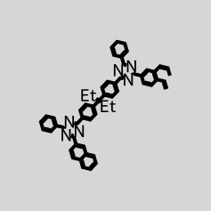 C=Cc1ccc(-c2nc(C3=CCCC=C3)nc(-c3ccc(C(CC)(CC)c4ccc(-c5nc(-c6ccccc6)nc(-c6ccc7ccccc7c6)n5)cc4)cc3)n2)cc1/C=C\C